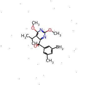 Bc1cc(C)cc(C(=O)c2nc(OC)nc(OC)c2C(C)C)c1